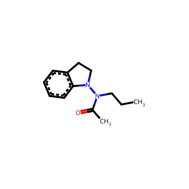 CCCN(C(C)=O)N1CCc2ccccc21